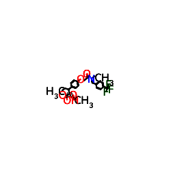 CCO[C@H](C(=O)O)C(CC)c1ccc(OCC(=O)N(CC)Cc2ccc(C(F)(F)F)cc2)cc1